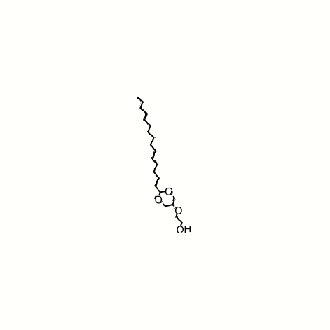 CCCCCCCCCCCCCCCC1OCC(OCCO)CO1